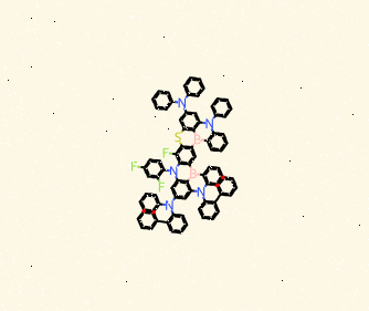 Fc1ccc(N2c3cc(N(c4ccccc4)c4ccccc4-c4ccccc4)cc4c3B(c3ccccc3N4c3ccccc3-c3ccccc3)c3cc4c(c(F)c32)Sc2cc(N(c3ccccc3)c3ccccc3)cc3c2B4c2ccccc2N3c2ccccc2)c(F)c1